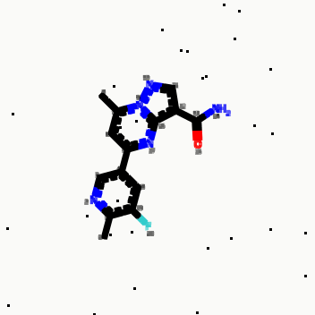 Cc1ncc(-c2cc(C)n3ncc(C(N)=O)c3n2)cc1F